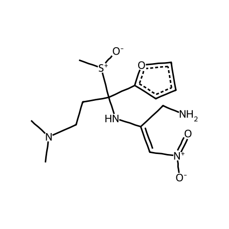 CN(C)CCC(NC(=C[N+](=O)[O-])CN)(c1ccco1)[S+](C)[O-]